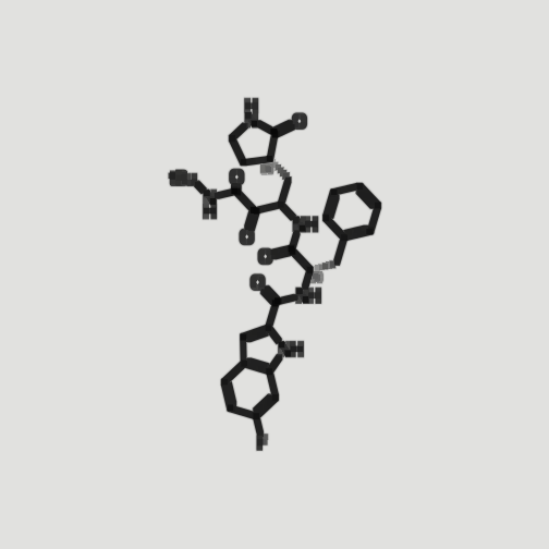 CC(C)(C)NC(=O)C(=O)C(C[C@@H]1CCNC1=O)NC(=O)[C@H](Cc1ccccc1)NC(=O)c1cc2ccc(F)cc2[nH]1